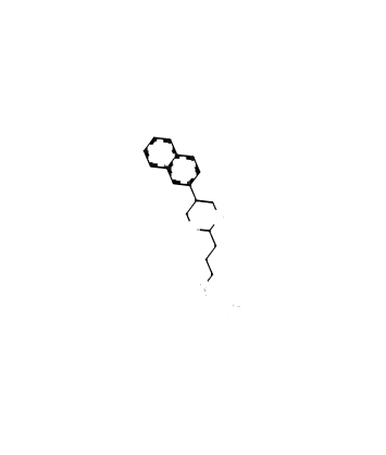 O=C(O)NCCCC1OCC(c2ccc3ccccc3c2)CO1